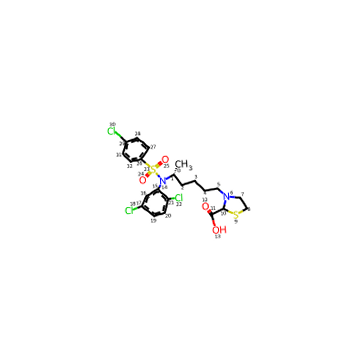 C[C@H](CCCCN1CCSC1C(=O)O)N(c1cc(Cl)ccc1Cl)S(=O)(=O)c1ccc(Cl)cc1